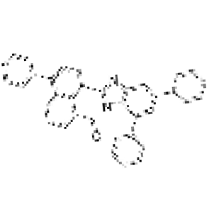 Cn1c(-c2ccc(-c3ccccc3)c3cccc(C=O)c23)nc2c(-c3ccccc3)cc(-c3ccccc3)cc21